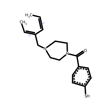 C/C=C\C(=C/C)CN1CCN(C(=O)c2ccc(S)cc2)CC1